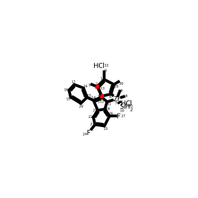 CC1=C(C)C(C)[C]([Zr]([CH3])([CH3])(=[SiH2])[CH]2C(C)=C(c3ccccc3)c3cc(F)cc(F)c32)=C1C.Cl.Cl